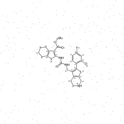 CC(C)(C)OC(=O)c1c(NC(=O)NCc2c(-c3ccc(F)cc3Cl)sc3c2CCNC3)sc2c1CCCC2